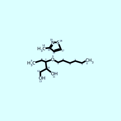 CCCCCCOC(CC)C(O)CO.Cc1ccsn1